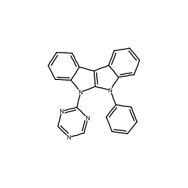 c1ccc(-n2c3ccccc3c3c4ccccc4n(-c4ncncn4)c32)cc1